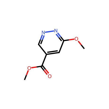 COC(=O)c1cnnc(OC)c1